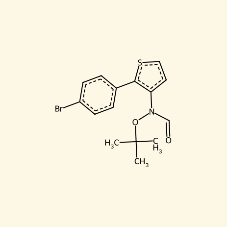 CC(C)(C)ON(C=O)c1ccsc1-c1ccc(Br)cc1